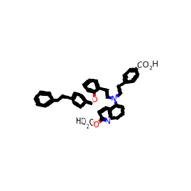 O=C(O)Oc1ccc2c(n1)CCCC2N(CCc1ccc(C(=O)O)cc1)CCc1ccccc1OCc1ccc(CCc2ccccc2)cc1